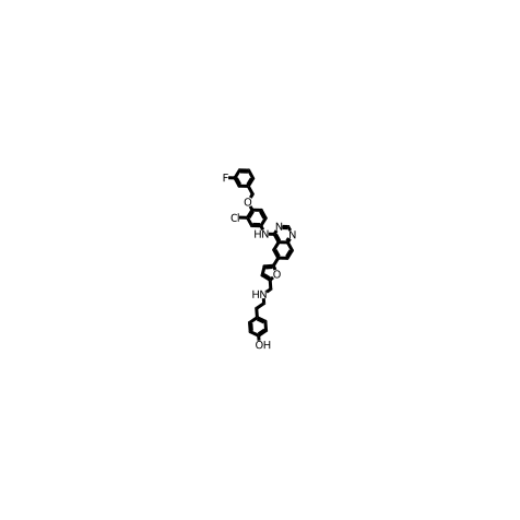 Oc1ccc(CCNCc2ccc(-c3ccc4ncnc(Nc5ccc(OCc6cccc(F)c6)c(Cl)c5)c4c3)o2)cc1